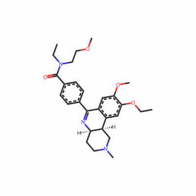 CCOc1cc2c(cc1OC)C(c1ccc(C(=O)N(CC)CCOC)cc1)=N[C@@H]1CCN(C)C[C@H]21